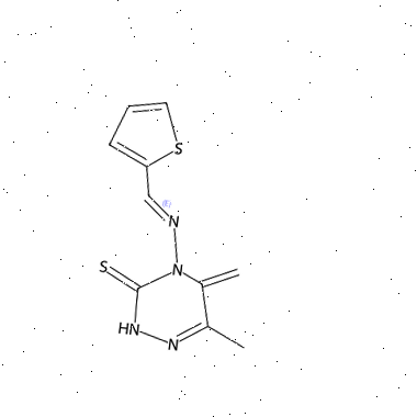 C=C1C(C)=NNC(=S)N1/N=C/c1cccs1